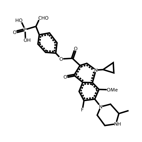 COc1c(N2CCNC(C)C2)c(F)cc2c(=O)c(C(=O)Oc3ccc(C(C=O)P(=O)(O)O)cc3)cn(C3CC3)c12